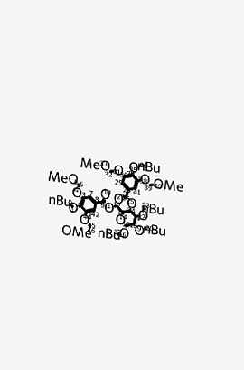 CCCCOc1c(OCOC)cc(C(=O)OCC2O[C@@H](OCCCC)[C@@H](OCCCC)C(OCCCC)[C@@H]2OC(=O)c2cc(OCOC)c(OCCCC)c(OCOC)c2)cc1OCOC